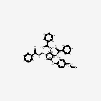 O=CNc1ccc(O[C@H]2O[C@H](COC(=O)c3ccccc3)[C@@H](OC(=O)c3ccccc3)[C@H]2OC(=O)c2ccccc2)nc1